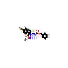 CC(C)OC(=O)C(CC(C)(C)C)(NC(=S)NC(=O)OCc1ccccc1)c1ccc(Br)cc1F